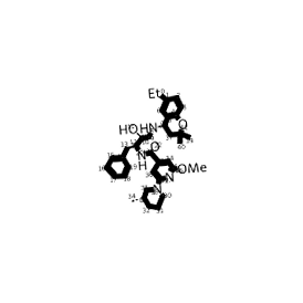 CCc1ccc2c(c1)[C@@H](NC[C@@H](O)[C@H](Cc1ccccc1)NC(=O)c1cc(OC)nc(N3CCC[C@H](C)C3)c1)CC(C)(C)O2